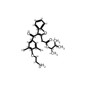 CC(C)[C@@H](C)OC(=O)Cc1oc2ccccc2c1C(=O)c1cc(I)c(OCCN)c(I)c1